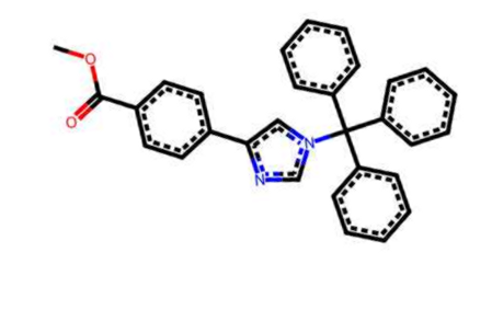 COC(=O)c1ccc(-c2cn(C(c3ccccc3)(c3ccccc3)c3ccccc3)cn2)cc1